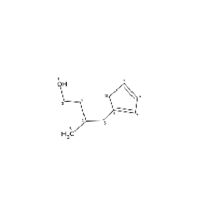 CC(CCO)CC1=CC=CC1